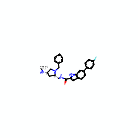 O=C(O)N[C@H]1C[C@@H](CNC(=O)c2cc3ccc(-c4ccc(F)cc4)cc3[nH]2)N(Cc2ccccc2)C1